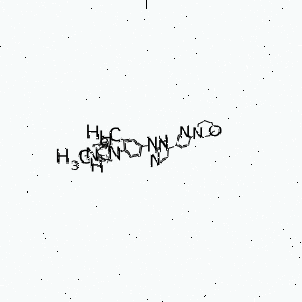 Cc1cc(Nc2nccc(-c3ccc(N4CCCOCC4)nc3)n2)ccc1N1C[C@@H]2C[C@H]1CN2C